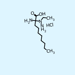 CCCCCCCCC(N)(C(=O)O)N(N)CC.Cl